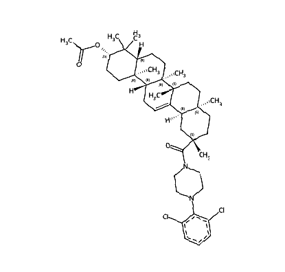 CC(=O)O[C@H]1CC[C@]2(C)[C@H]3CC=C4[C@@H]5C[C@@](C)(C(=O)N6CCN(c7c(Cl)cccc7Cl)CC6)CC[C@]5(C)CC[C@@]4(C)[C@]3(C)CC[C@H]2C1(C)C